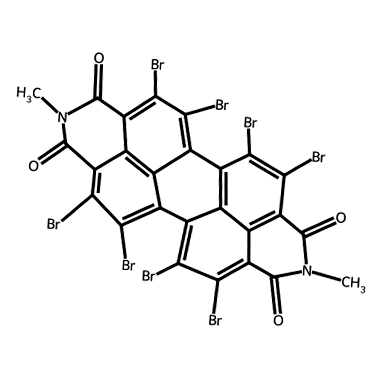 CN1C(=O)c2c(Br)c(Br)c3c4c(Br)c(Br)c5c6c(c(Br)c(Br)c(c7c(Br)c(Br)c(c2c37)C1=O)c64)C(=O)N(C)C5=O